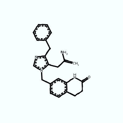 C=C(N)Cc1c(Cc2ccccc2)ncn1Cc1ccc2c(c1)NC(=O)CC2